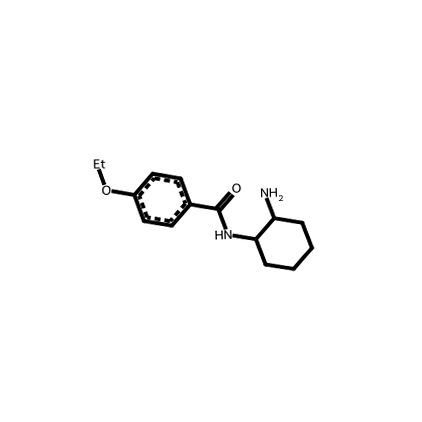 CCOc1ccc(C(=O)NC2CCCCC2N)cc1